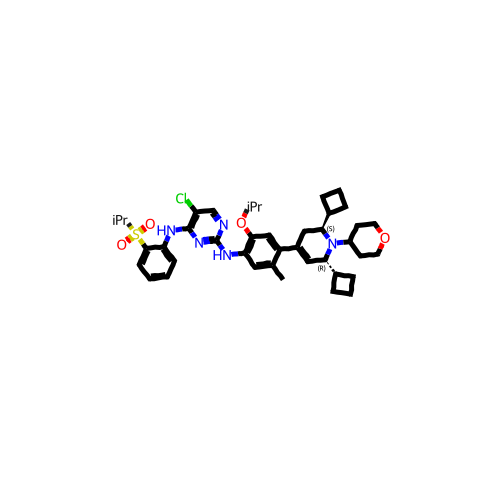 Cc1cc(Nc2ncc(Cl)c(Nc3ccccc3S(=O)(=O)C(C)C)n2)c(OC(C)C)cc1C1=C[C@@H](C2CCC2)N(C2CCOCC2)[C@H](C2CCC2)C1